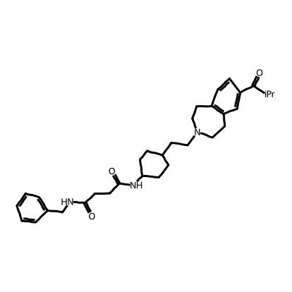 CC(C)C(=O)c1ccc2c(c1)CCN(CCC1CCC(NC(=O)CCC(=O)NCc3ccccc3)CC1)CC2